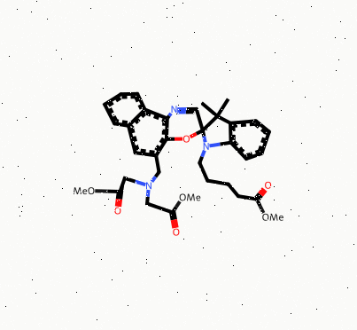 COC(=O)CCCCN1c2ccccc2C(C)(C)C12C=Nc1c(c(CN(CC(=O)OC)CC(=O)OC)cc3ccccc13)O2